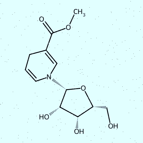 COC(=O)C1=CN([C@@H]2O[C@H](CO)[C@H](O)[C@@H]2O)C=CC1